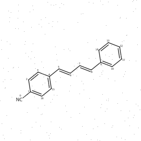 N#Cc1ccc(C=CC=Cc2ccccc2)cc1